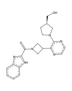 O=C(c1nc2ccccc2[nH]1)N1CC(c2nccnc2N2CC[C@@H](CO)C2)C1